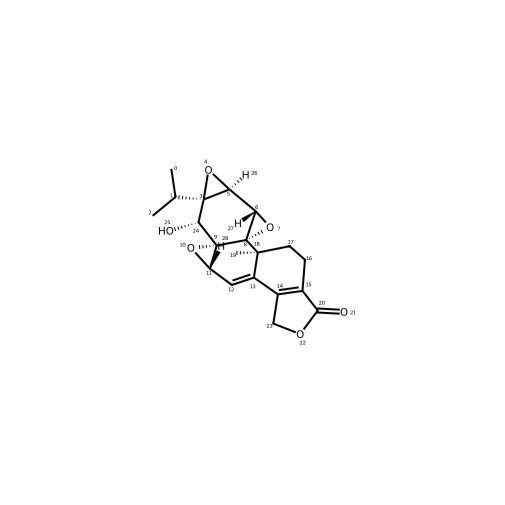 CC(C)[C@]12O[C@H]1[C@@H]1O[C@]13[C@]1(O[C@H]1C=C1C4=C(CC[C@@]13C)C(=O)OC4)[C@@H]2O